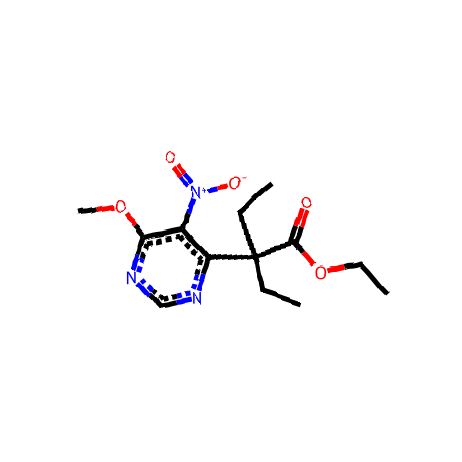 CCOC(=O)C(CC)(CC)c1ncnc(OC)c1[N+](=O)[O-]